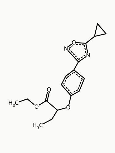 CCOC(=O)C(CC)Oc1ccc(-c2noc(C3CC3)n2)cc1